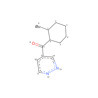 CCC(C)C1CCCCC1C(=O)c1ccnnc1